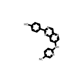 N#Cc1ccc(Nc2cnc3cnc(-c4ccc(O)cc4)nc3c2)nc1